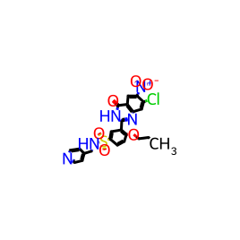 CCCOc1ccc(S(=O)(=O)NCc2ccncc2)cc1-c1nc2cc(Cl)c([N+](=O)[O-])cc2c(=O)[nH]1